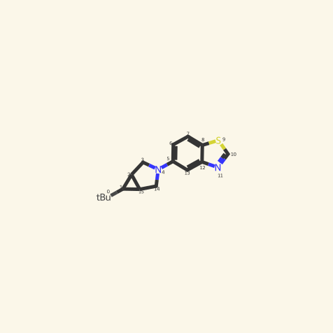 CC(C)(C)C1C2CN(c3ccc4scnc4c3)CC21